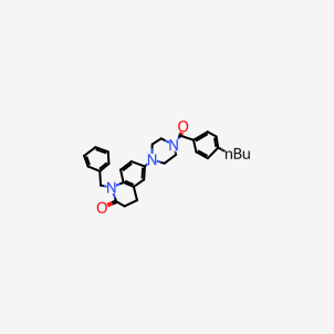 CCCCc1ccc(C(=O)N2CCN(c3ccc4c(c3)CCC(=O)N4Cc3ccccc3)CC2)cc1